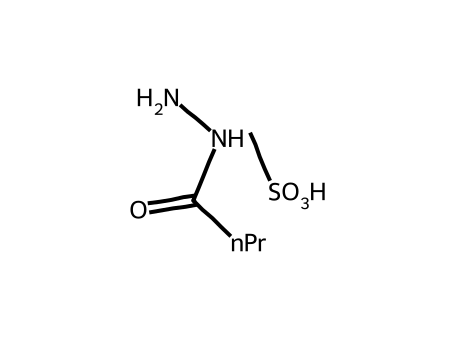 CCCC(=O)NN.CS(=O)(=O)O